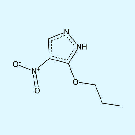 CCCOc1[nH]ncc1[N+](=O)[O-]